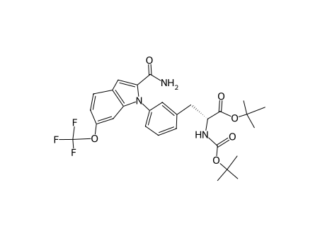 CC(C)(C)OC(=O)N[C@H](Cc1cccc(-n2c(C(N)=O)cc3ccc(OC(F)(F)F)cc32)c1)C(=O)OC(C)(C)C